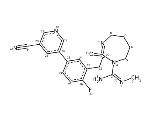 C/N=C(/N)N1CCCCN=S1(=O)Cc1cc(-c2cncc(C#N)c2)ccc1F